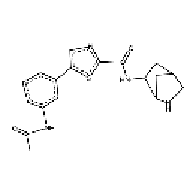 CC(=O)Nc1cccc(-c2cnc(C(=O)NC3CC4CNC3C4)s2)c1